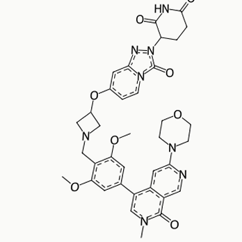 COc1cc(-c2cn(C)c(=O)c3cnc(N4CCOCC4)cc23)cc(OC)c1CN1CC(Oc2ccn3c(=O)n(C4CCC(=O)NC4=O)nc3c2)C1